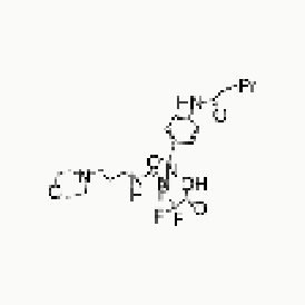 CC(C)CC(=O)Nc1ccc(-c2nnc(NCCCN3CCOCC3)o2)cc1.O=C(O)C(F)(F)F